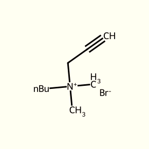 C#CC[N+](C)(C)CCCC.[Br-]